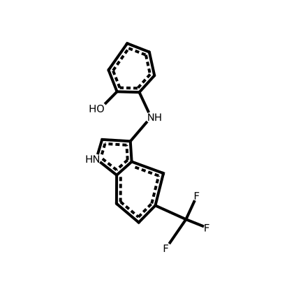 Oc1ccccc1Nc1c[nH]c2ccc(C(F)(F)F)cc12